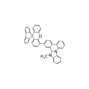 CN1c2ccccc2N2c3ccccc3-c3ccc(-c4cccc5c4Oc4ccccc4C54c5ccccc5-c5ccccc54)cc3C12